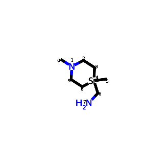 CN1CC[Si](C)(CN)CC1